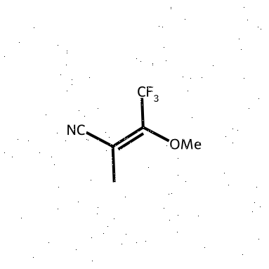 COC(=C(C)C#N)C(F)(F)F